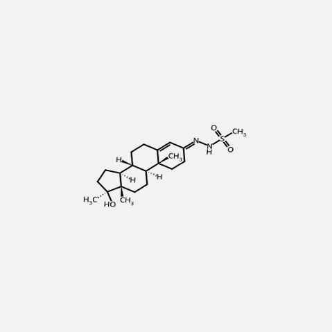 C[C@]12CC/C(=N\NS(C)(=O)=O)C=C1CC[C@@H]1[C@@H]2CC[C@@]2(C)[C@H]1CC[C@]2(C)O